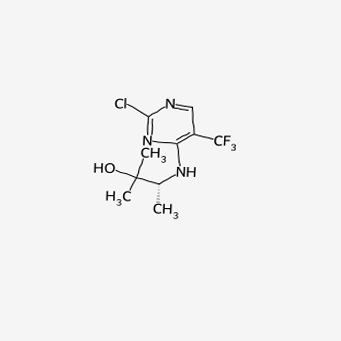 C[C@@H](Nc1nc(Cl)ncc1C(F)(F)F)C(C)(C)O